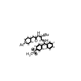 CC(=O)N1CCC(CC(=O)N[C@H](CNC(c2ccccc2)c2ccc(S(C)(=O)=O)cc2)C(C)(C)C)CC1